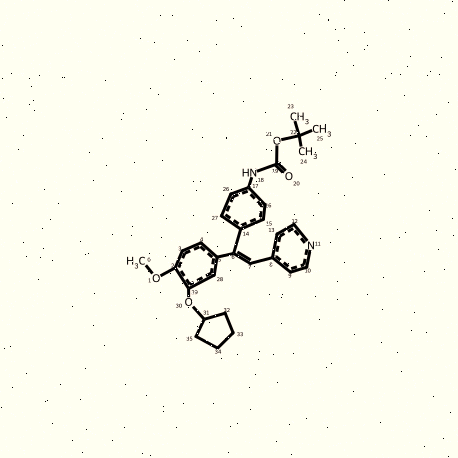 COc1ccc(/C(=C/c2ccncc2)c2ccc(NC(=O)OC(C)(C)C)cc2)cc1OC1CCCC1